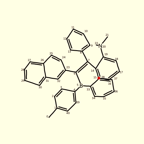 Cc1ccc(B(/C(=C(/c2ccccc2)c2ccccc2N(C)C)c2ccc3ccccc3c2)c2ccccc2)cc1